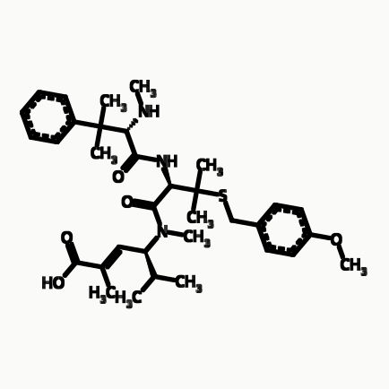 CN[C@H](C(=O)N[C@H](C(=O)N(C)[C@H](/C=C(\C)C(=O)O)C(C)C)C(C)(C)SCc1ccc(OC)cc1)C(C)(C)c1ccccc1